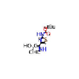 CC(C)(C)OC(=O)Nc1nc([C@H](NC=O)C(=O)O)cs1